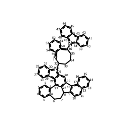 c1ccc2c(c1)CCC1c3ccc4ccccc4c3-c3cc4c(c-2c31)c1ccccc1n4C1CCC/C(n2c3ccccc3c3ccccc32)=c2/cccc/c2=N/1